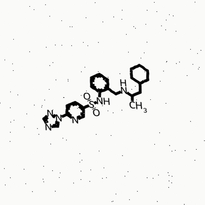 CC(CC1CCCCC1)NCc1ccccc1NS(=O)(=O)c1ccc(-n2cncn2)nc1